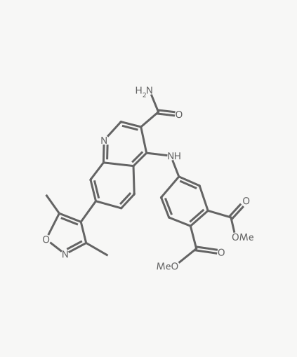 COC(=O)c1ccc(Nc2c(C(N)=O)cnc3cc(-c4c(C)noc4C)ccc23)cc1C(=O)OC